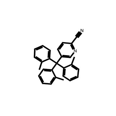 Cc1ccccc1C(c1ccc(C#N)nc1)(c1ccccc1C)c1ccccc1C